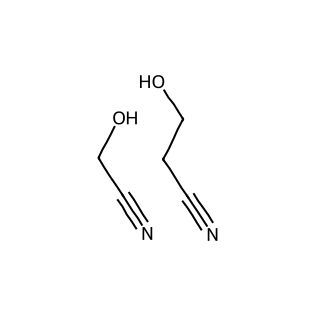 N#CCCO.N#CCO